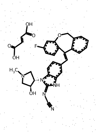 CN1C[C@H](O)[C@@H](n2c(=NC#N)[nH]c3cc(C=C4c5ccccc5COc5cc(F)ccc54)ccc32)C1.O=C(O)C=CC(=O)O